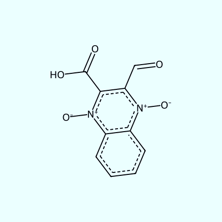 O=Cc1c(C(=O)O)[n+]([O-])c2ccccc2[n+]1[O-]